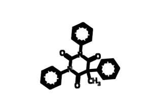 CC1(c2ccccc2)C(=O)N(c2ccccc2)C(=O)N(c2ccccc2)C1=O